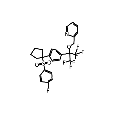 O=S(=O)(c1ccc(F)cc1)C1(c2ccc(C(OCc3ccccn3)(C(F)(F)F)C(F)(F)F)cc2)CCCC1